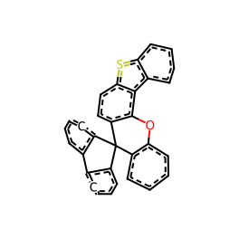 c1ccc2c(c1)Oc1c(ccc3sc4ccccc4c13)C21c2ccccc2-c2ccccc21